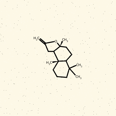 C=C1CC2[C@@]3(C)CCCC(C)(C)C3CC[C@@]2(C)O1